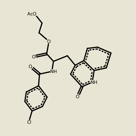 CC(=O)OCCOC(=O)C(Cc1cc(=O)[nH]c2ccccc12)NC(=O)c1ccc(Cl)cc1